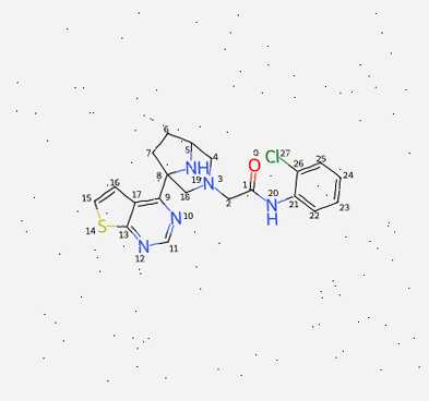 O=C(CN1CC2CCC(c3ncnc4sccc34)(C1)N2)Nc1ccccc1Cl